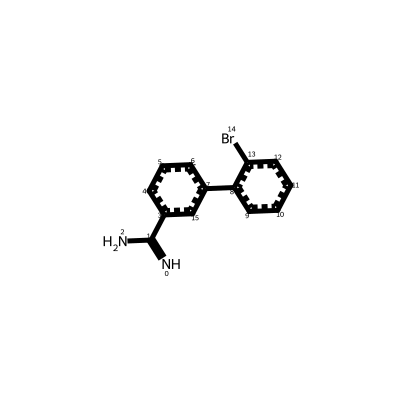 N=C(N)c1cc[c]c(-c2ccccc2Br)c1